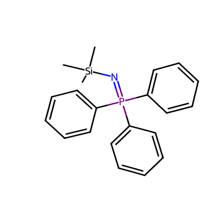 C[Si](C)(C)N=P(c1ccccc1)(c1ccccc1)c1ccccc1